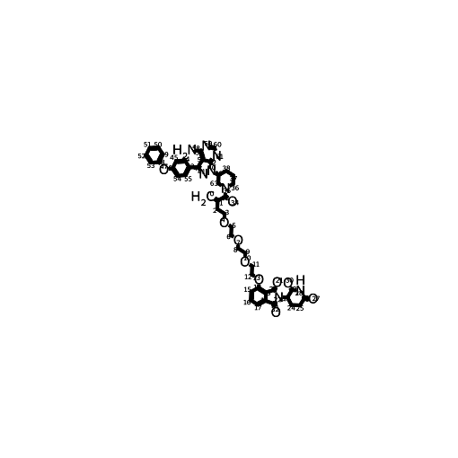 C=C(CCOCCOCCOCCOc1cccc2c1C(=O)N(C1CCC(=O)NC1=O)C2=O)C(=O)N1CCCC(n2nc(-c3ccc(Oc4ccccc4)cc3)c3c(N)ncnc32)C1